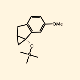 COc1ccc2c(c1)[C@@]1(O[Si](C)(C)C)CC1C2